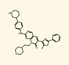 Cc1sc(-c2ccccn2)nc1-c1cc2cnc(Nc3ccc(C4CCCNC4)cc3)nc2n(CCN2CCOCC2)c1=O